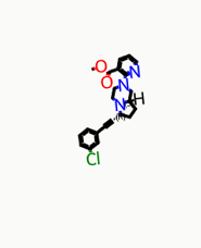 COC(=O)c1cccnc1N1CCN2[C@@H](CC[C@@H]2C#Cc2cccc(Cl)c2)C1